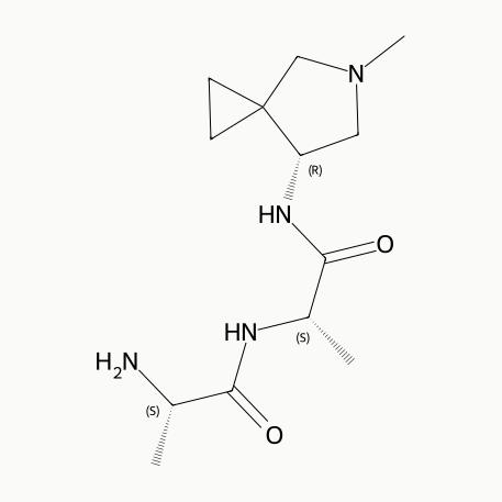 C[C@H](N)C(=O)N[C@@H](C)C(=O)N[C@H]1CN(C)CC12CC2